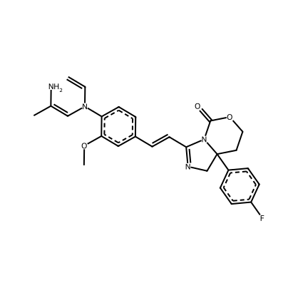 C=CN(/C=C(/C)N)c1ccc(/C=C/C2=NCC3(c4ccc(F)cc4)CCOC(=O)N23)cc1OC